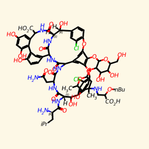 CCCCOC(CNC1(C)CC(OC2C(Oc3c4cc5cc3Oc3ccc(cc3Cl)[C@@H](O)[C@@H]3NC(=O)C(NC(=O)C5NC(=O)C(CC(N)=O)NC(=O)[C@@H](NC(=O)[C@H](N)CC(C)C)C(O)c5ccc(c(Cl)c5)O4)c4ccc(O)c(c4)-c4c(O)cc(O)cc4C(C(=O)O)NC3=O)OC(CO)C(O)C2O)OC(C)C1O)C(=O)O